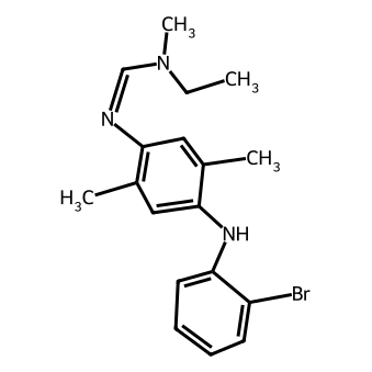 CCN(C)/C=N\c1cc(C)c(Nc2ccccc2Br)cc1C